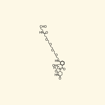 CN(C(=O)c1cccc(NCCOCCOCCOCCOCCC(=O)NCCC=O)c1C=O)C1CCC(=O)NC1=O